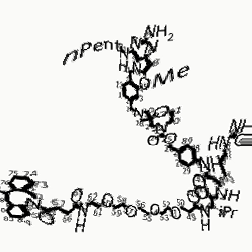 CCCCCNc1nc(N)nc2ccn(Cc3ccc(CN4CC5(C4)CN(C(=O)OCc4ccc(NC(=O)[C@H](CCCNC(N)=O)NC(=O)[C@@H](NC(=O)CCOCCOCCOCCOCCNC(=O)CCC(=O)N6Cc7ccccc7/C(C)=C\c7ccccc76)C(C)C)cc4)CCO5)cc3OC)c12